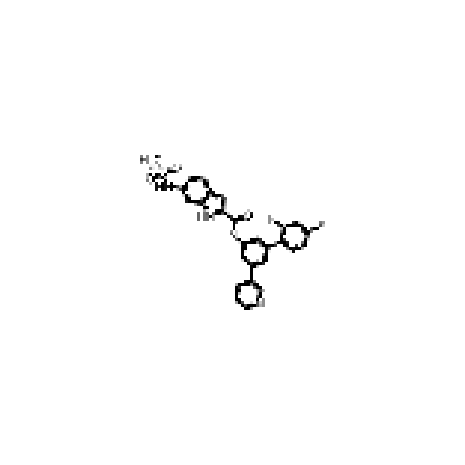 CS(=O)(=O)Nc1ccc2cc(C(=O)Nc3cc(-c4cccnc4)cc(-c4ccc(F)cc4F)c3)[nH]c2c1